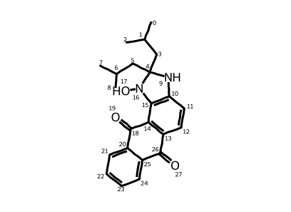 CC(C)CC1(CC(C)C)Nc2ccc3c(c2N1O)C(=O)c1ccccc1C3=O